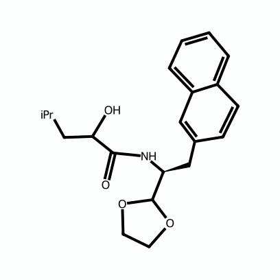 CC(C)CC(O)C(=O)N[C@@H](Cc1ccc2ccccc2c1)C1OCCO1